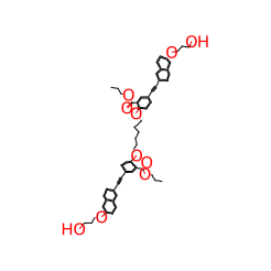 CCCOC(=O)c1cc(C#Cc2ccc3cc(OCCCO)ccc3c2)ccc1OCCCCCCOc1ccc(C#Cc2ccc3cc(OCCCO)ccc3c2)cc1C(=O)OCCC